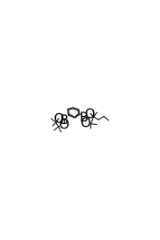 CCCC1(C)OB(c2cccc(B3OC(C)(C)C(C)(C)O3)c2)OC1(C)C